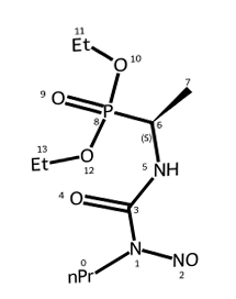 CCCN(N=O)C(=O)N[C@H](C)P(=O)(OCC)OCC